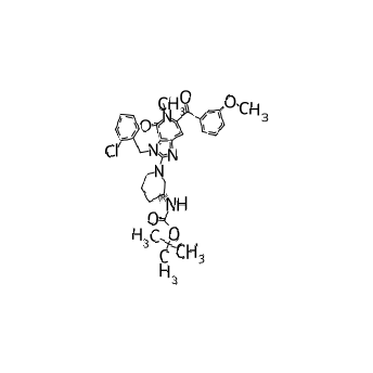 COc1cccc(C(=O)c2cc3nc(N4CCC[C@@H](NC(=O)OC(C)(C)C)C4)n(Cc4ccccc4Cl)c3c(=O)n2C)c1